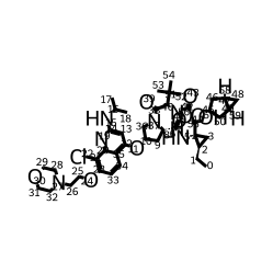 CC[C@@H]1C[C@]1(NC(=O)[C@@H]1C[C@@H](Oc2cc(NC(C)C)nc3c(Cl)c(OCCN4CCOCC4)ccc23)CN1C(=O)[C@@H](NC(=O)O[C@@H]1C[C@@H]2C[C@@H]2C1)C(C)(C)C)C(=O)O